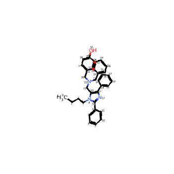 CCCCn1c(-c2ccccc2)nc(-c2ccccc2)c1CN(Cc1ccccc1)Cc1ccc(O)cc1